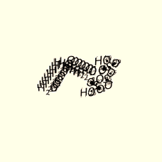 O.O.O.O.O.O.O.O.O.O.O.O.O.O.O=S(OS(=O)(=O)O)OS(=O)(=O)O